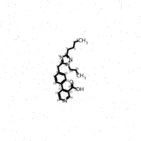 CCCCc1nc(Cc2ccc(-c3ccncc3C(=O)O)cc2)n(CCC)n1